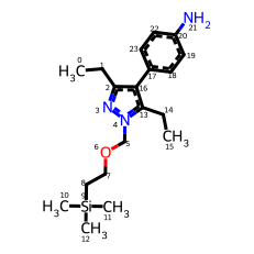 CCc1nn(COCC[Si](C)(C)C)c(CC)c1-c1ccc(N)cc1